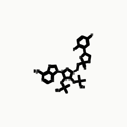 CC(C)(C)[Si](C)(C)O[C@@H]1[C@H](O[Si](C)(C)C(C)(C)C)[C@@H](COP2(=S)OCC(c3cc(F)ccc3F)O2)O[C@H]1n1cnc2c(N)ncnc21